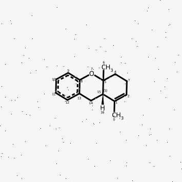 CC1=CCCC2(C)Oc3ccccc3C[C@@H]12